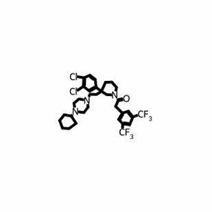 O=C(Cc1cc(C(F)(F)F)cc(C(F)(F)F)c1)N1CCCC(CCN2CCN(C3CCCCC3)CC2)(c2ccc(Cl)c(Cl)c2)C1